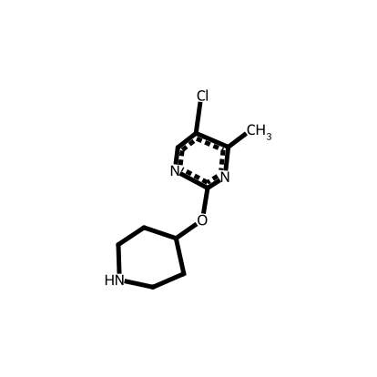 Cc1nc(OC2CCNCC2)ncc1Cl